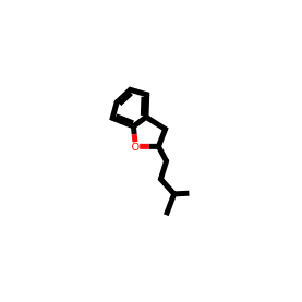 CC(C)CCC1Cc2c[c]ccc2O1